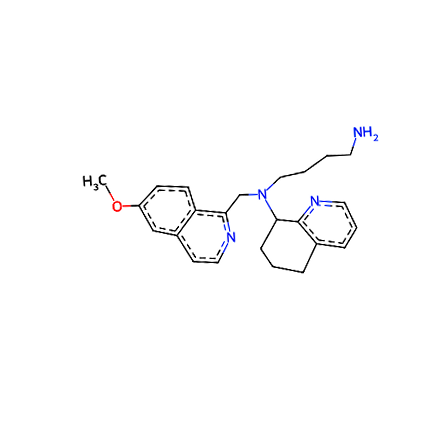 COc1ccc2c(CN(CCCCN)C3CCCc4cccnc43)nccc2c1